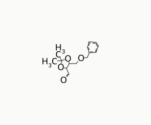 CC1(C)OC(C=O)C(COCc2ccccc2)O1